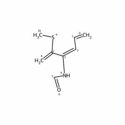 C=C/C=C(/NC=O)C(=C)SC